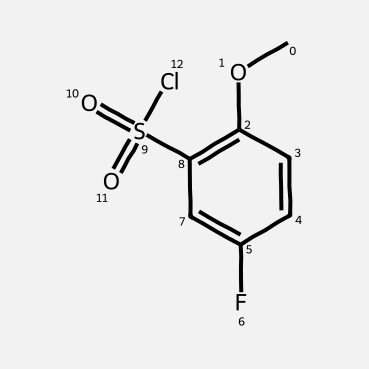 COc1ccc(F)cc1S(=O)(=O)Cl